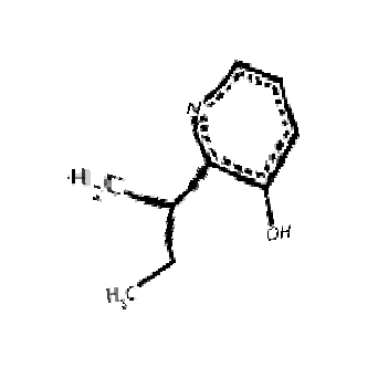 [CH2]C(CC)c1ncccc1O